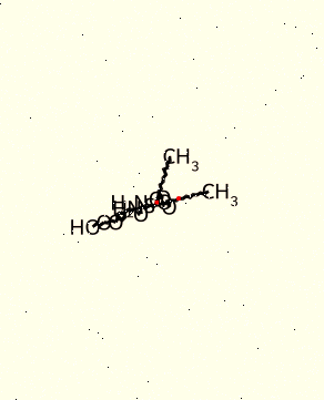 CCCCCCCCCCCC(=O)OC[C@H](CSC[C@H](N)C(=O)NCCc1ccc(OCCOCCO)cc1)OC(=O)CCCCCCCCCCC